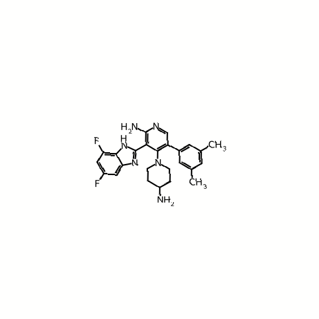 Cc1cc(C)cc(-c2cnc(N)c(-c3nc4cc(F)cc(F)c4[nH]3)c2N2CCC(N)CC2)c1